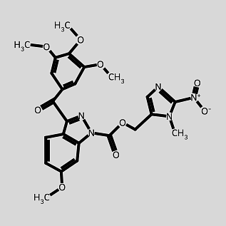 COc1ccc2c(C(=O)c3cc(OC)c(OC)c(OC)c3)nn(C(=O)OCc3cnc([N+](=O)[O-])n3C)c2c1